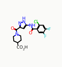 O=C(Nc1cc(C(=O)N2CCC(C(=O)O)CC2)n[nH]1)c1cc(F)c(F)cc1Cl